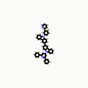 c1ccc(-c2cc(-n3c4ccccc4c4cc(-c5ccc6c(c5)c5ccccc5n6-c5ccc6sc7cccnc7c6c5)ccc43)cc(-c3ccccc3)n2)cc1